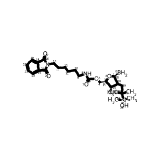 B[C@@H]1O[C@H](COC(=O)NCCCCCCN2C(=O)c3ccccc3C2=O)[C@H](O)C1CC(C)(C)[Si](C)(C)O